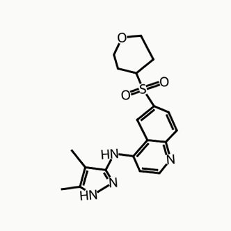 Cc1[nH]nc(Nc2ccnc3ccc(S(=O)(=O)C4CCOCC4)cc23)c1C